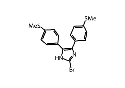 CSc1ccc(-c2nc(Br)[nH]c2-c2ccc(SC)cc2)cc1